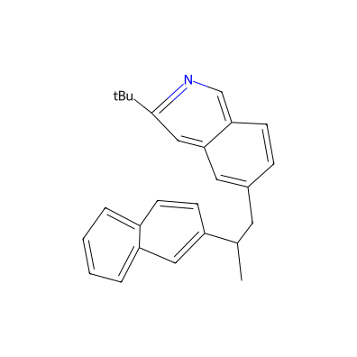 CC(Cc1ccc2cnc(C(C)(C)C)cc2c1)c1ccc2ccccc2c1